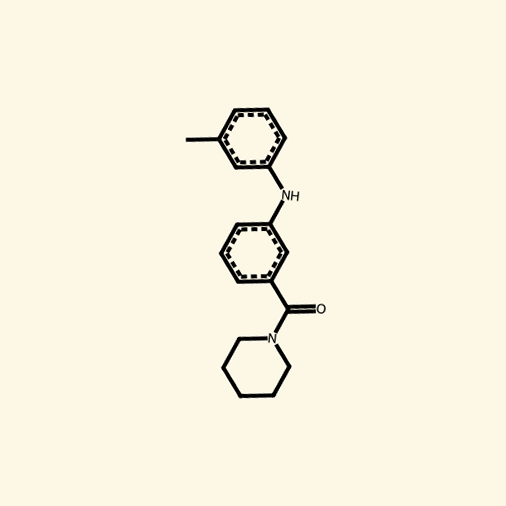 Cc1cccc(Nc2cccc(C(=O)N3CCCCC3)c2)c1